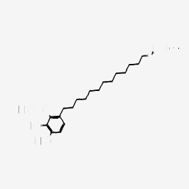 CCCCCCOCCCCCCCCCCCCCc1ccc(O)c(O)c1C(=O)O